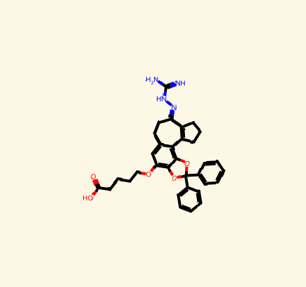 N=C(N)NN=C1CCc2cc(OCCCCC(=O)O)c3c(c2C2=C1CCC2)OC(c1ccccc1)(c1ccccc1)O3